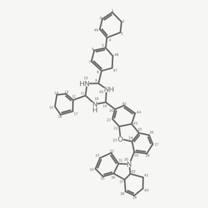 C1=CCCC(C2=CC=C(C3NC(C4=CCCC=C4)NC(C4=CC5Oc6c(cccc6N6c7ccccc7C7C=CCCC76)C5C=C4)N3)CC2)=C1